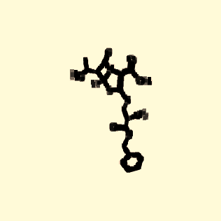 CC(O)[C@H]1C(=O)N2C(C(=O)O)=C(SC[C@@H](N)C(=O)OCc3ccccc3)S[C@H]12